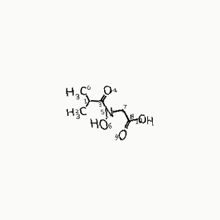 CC(C)C(=O)N(O)CC(=O)O